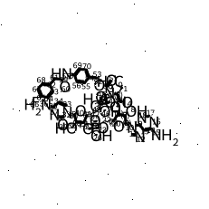 CC[C@@H](C(=O)O[C@H]1[C@@H](O)[C@H](n2cnc3c(N)ncnc32)O[C@@H]1COP(=O)(O)O[C@H]1[C@@H](O)[C@H](n2ccc(N)nc2=O)O[C@@H]1COP(=O)(O)O)N(C)C(=O)OCc1ccc(NC(=O)Cc2ccc(F)cc2)cc1